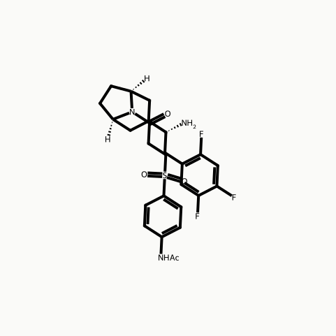 CC(=O)Nc1ccc(S(=O)(=O)CCC(=O)N2[C@@H]3CC[C@H]2CC([C@H](N)Cc2cc(F)c(F)cc2F)C3)cc1